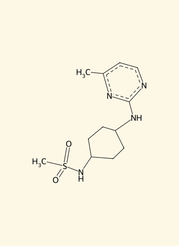 Cc1ccnc(NC2CCC(NS(C)(=O)=O)CC2)n1